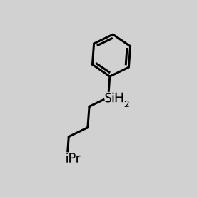 CC(C)CCC[SiH2]c1ccccc1